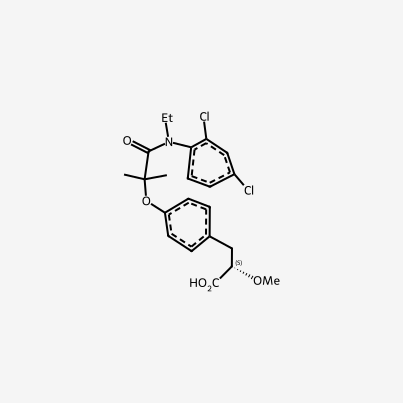 CCN(C(=O)C(C)(C)Oc1ccc(C[C@H](OC)C(=O)O)cc1)c1ccc(Cl)cc1Cl